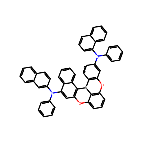 C1=CC2C(N(c3ccccc3)c3cccc4ccccc34)=CC3=C(B4c5c(cccc5Oc5cc(N(c6ccccc6)c6ccc7ccccc7c6)c6ccccc6c54)O3)C2C=C1